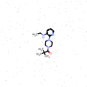 CCNc1cccnc1N1CCN(C(=O)C(C)(C)C)CC1